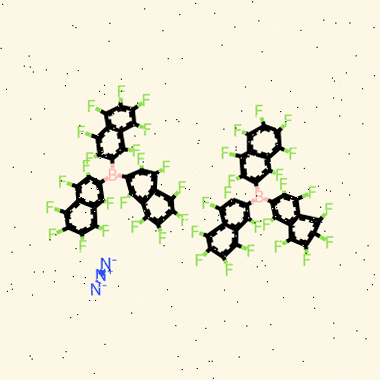 Fc1c(F)c(F)c2c(F)c(B(c3c(F)c(F)c4c(F)c(F)c(F)c(F)c4c3F)c3c(F)c(F)c4c(F)c(F)c(F)c(F)c4c3F)c(F)c(F)c2c1F.Fc1c(F)c(F)c2c(F)c(B(c3c(F)c(F)c4c(F)c(F)c(F)c(F)c4c3F)c3c(F)c(F)c4c(F)c(F)c(F)c(F)c4c3F)c(F)c(F)c2c1F.[N-]=[N+]=[N-]